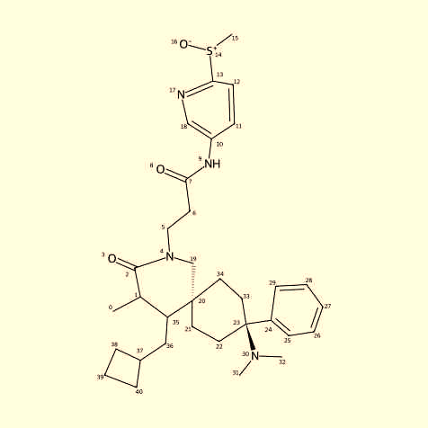 CC1C(=O)N(CCC(=O)Nc2ccc([S+](C)[O-])nc2)C[C@]2(CC[C@](c3ccccc3)(N(C)C)CC2)C1CC1CCC1